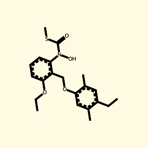 CCOc1cccc(N(O)C(=O)SC)c1COc1cc(C)c(CC)cc1C